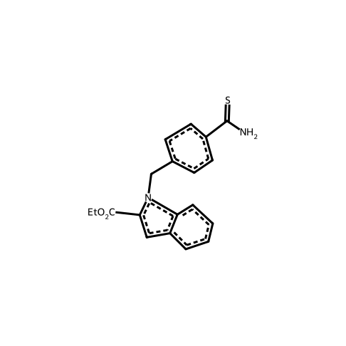 CCOC(=O)c1cc2ccccc2n1Cc1ccc(C(N)=S)cc1